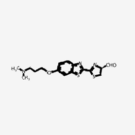 CN(C)CCCOc1ccc2nc(C3=N[C@@H](C=O)CS3)sc2c1